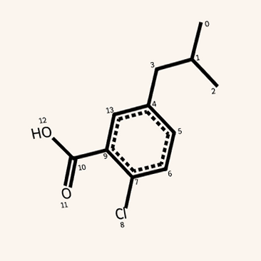 CC(C)Cc1ccc(Cl)c(C(=O)O)c1